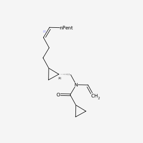 C=CN(C[C@@H]1CC1CC/C=C\CCCCC)C(=O)C1CC1